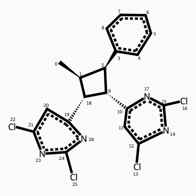 C[C@H]1[C@@H](c2ccccc2)[C@H](c2cc(Cl)nc(Cl)n2)[C@@H]1c1cc(Cl)nc(Cl)n1